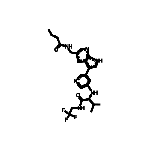 CCCC(=O)NCc1cnc2[nH]cc(-c3cncc(NC(C(=O)NCC(F)(F)F)C(C)C)c3)c2c1